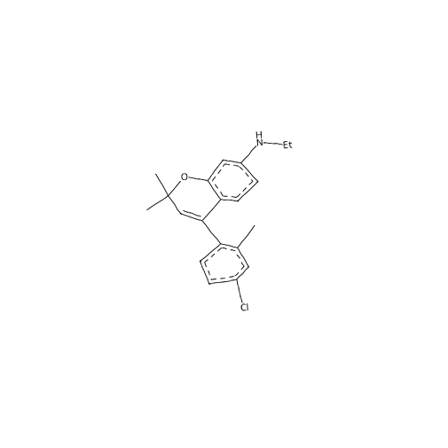 CCNc1ccc2c(c1)OC(C)(C)C=C2c1ccc(Cl)cc1C